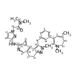 CC1=CC(c2cccc(Cc3c4c(nn3C)CCC3=C4/C=C/C=C(Nc4ccn(CC(=O)N(C)C)n4)/N=C\3)c2)=CN(C)CC1